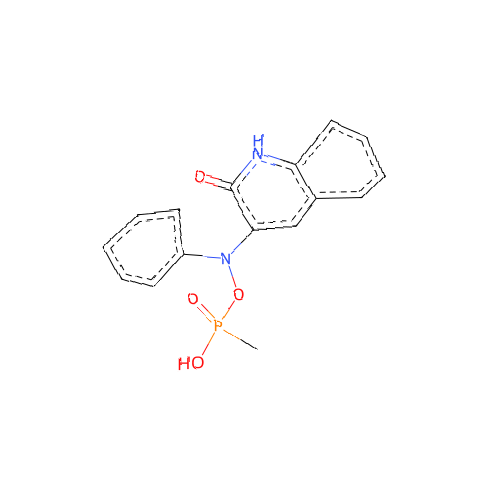 CP(=O)(O)ON(c1ccccc1)c1cc2ccccc2[nH]c1=O